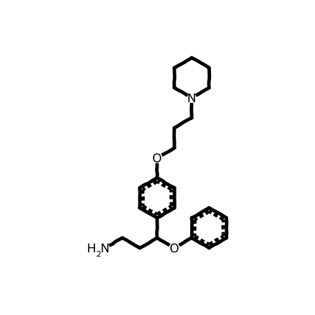 NCCC(Oc1ccccc1)c1ccc(OCCCN2CCCCC2)cc1